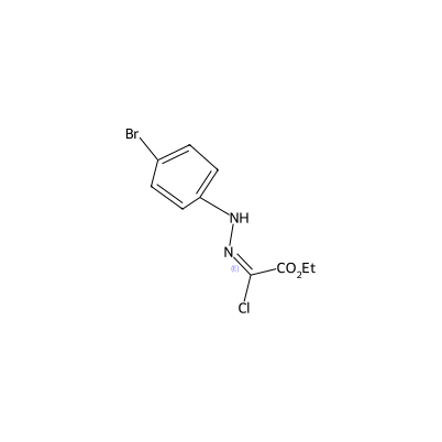 CCOC(=O)/C(Cl)=N\Nc1ccc(Br)cc1